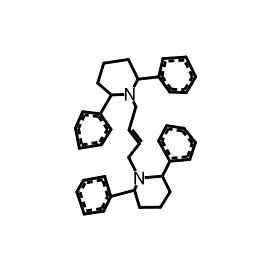 C(=C\CN1C(c2ccccc2)CCCC1c1ccccc1)/CN1C(c2ccccc2)CCCC1c1ccccc1